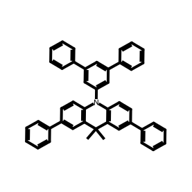 CC1(C)c2cc(-c3ccccc3)ccc2N(c2cc(-c3ccccc3)cc(-c3ccccc3)c2)c2ccc(-c3ccccc3)cc21